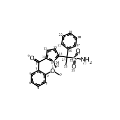 COc1ccccc1C(=O)c1ccc(C(C)(c2ccccc2)S(N)(=O)=O)n1C